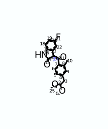 COC(Cc1ccc2c(c1)CO/C2=C1/C(=O)Nc2ccc(F)cc21)OC